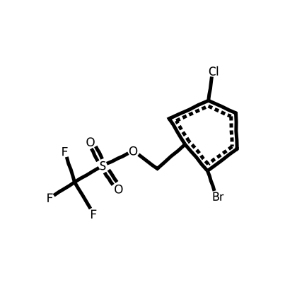 O=S(=O)(OCc1cc(Cl)ccc1Br)C(F)(F)F